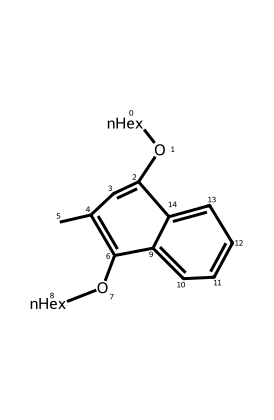 CCCCCCOc1cc(C)c(OCCCCCC)c2ccccc12